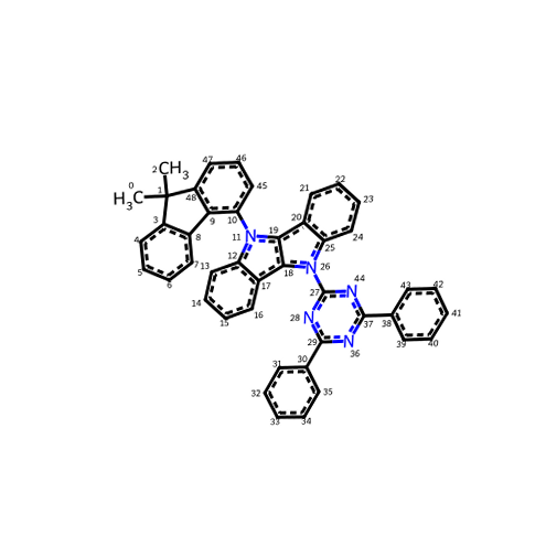 CC1(C)c2ccccc2-c2c(-n3c4ccccc4c4c3c3ccccc3n4-c3nc(-c4ccccc4)nc(-c4ccccc4)n3)cccc21